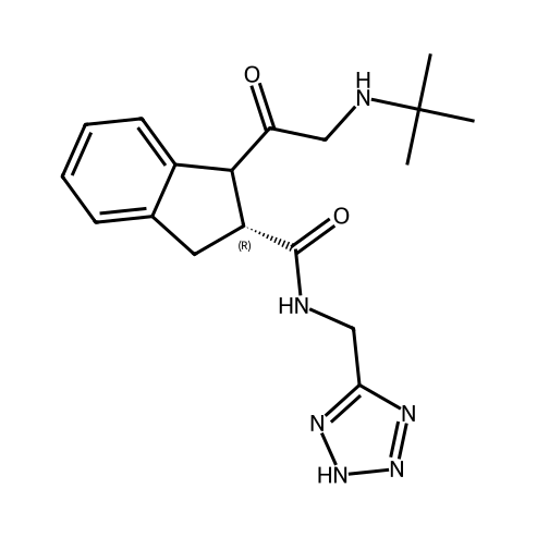 CC(C)(C)NCC(=O)C1c2ccccc2C[C@H]1C(=O)NCc1nn[nH]n1